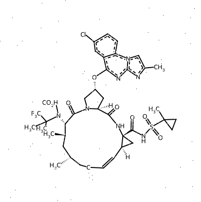 Cc1cn2c(n1)nc(O[C@@H]1C[C@H]3C(=O)N[C@]4(C(=O)NS(=O)(=O)C5(C)CC5)C[C@H]4C=CCC[C@H](C)C[C@@H](C)[C@H](N(C(=O)O)C(C)(C)C(F)(F)F)C(=O)N3C1)c1cc(Cl)ccc12